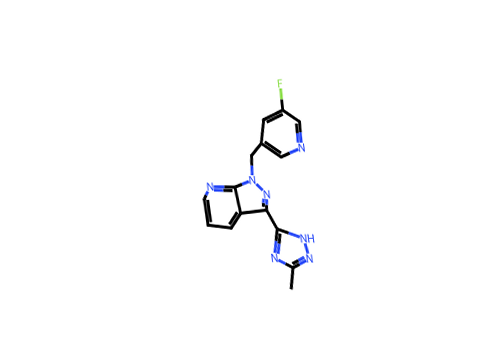 Cc1n[nH]c(-c2nn(Cc3cncc(F)c3)c3ncccc23)n1